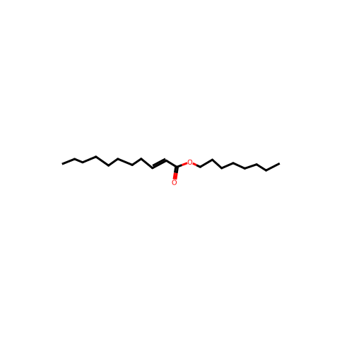 CCCCCCCCC=CC(=O)OCCCCCCCC